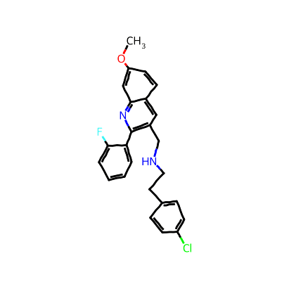 COc1ccc2cc(CNCCc3ccc(Cl)cc3)c(-c3ccccc3F)nc2c1